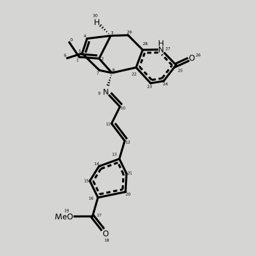 C/C=C1\[C@H]2C=C(C)C[C@]1(N=CC=Cc1ccc(C(=O)OC)cc1)c1ccc(=O)[nH]c1C2